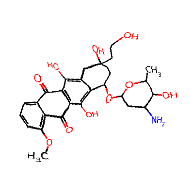 COc1cccc2c1C(=O)c1c(O)c3c(c(O)c1C2=O)CC(O)(CCO)CC3OC1CC(N)C(O)C(C)O1